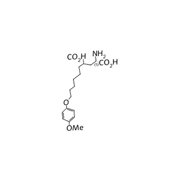 COc1ccc(OCCCCCCC(C[C@H](N)C(=O)O)C(=O)O)cc1